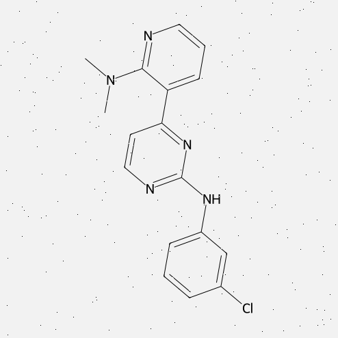 CN(C)c1ncccc1-c1ccnc(Nc2cccc(Cl)c2)n1